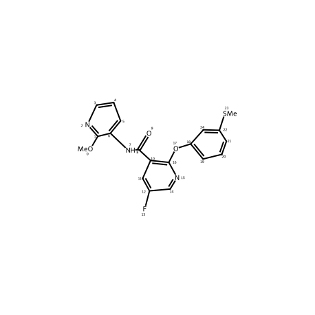 COc1ncccc1NC(=O)c1cc(F)cnc1Oc1cccc(SC)c1